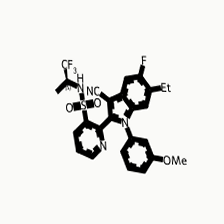 CCc1cc2c(cc1F)c(C#N)c(-c1ncccc1S(=O)(=O)N[C@@H](C)C(F)(F)F)n2-c1cccc(OC)c1